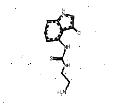 NCCNC(=S)Nc1cccc2[nH]cc(Cl)c12